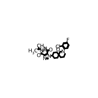 CC(C)NC(=O)c1ncn(C2CCC3(CCCN(c4ccc(F)cc4Cl)C3=O)CC2)c1C(N)=O